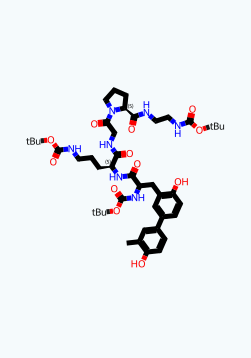 Cc1cc(-c2ccc(O)c(CC(NC(=O)OC(C)(C)C)C(=O)N[C@@H](CCCNC(=O)OC(C)(C)C)C(=O)NCC(=O)N3CCC[C@H]3C(=O)NCCNC(=O)OC(C)(C)C)c2)ccc1O